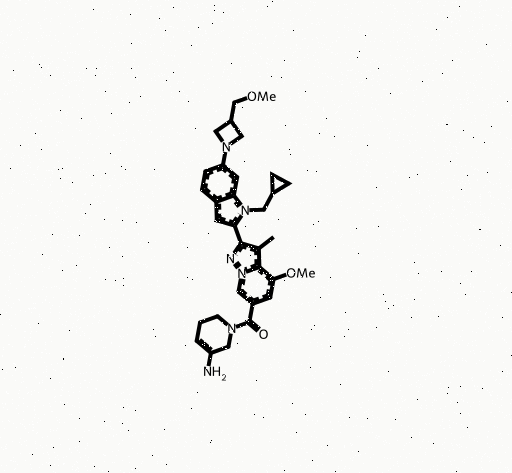 COCC1CN(c2ccc3cc(-c4nn5cc(C(=O)N6CCC=C(N)C6)cc(OC)c5c4C)n(CC4CC4)c3c2)C1